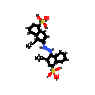 Cc1cc(S(=O)(=O)O)c2ccccc2c1/N=N/c1ccc2c(S(=O)(=O)O)cccc2c1C